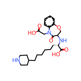 O=C(O)CN1C(=O)C(N[C@@H](CCCCCCC2CCNCC2)C(=O)O)COc2ccccc21